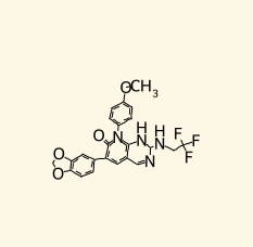 COc1ccc(-n2c3c(cc(-c4ccc5c(c4)OCO5)c2=O)C=NC(NCC(F)(F)F)N3)cc1